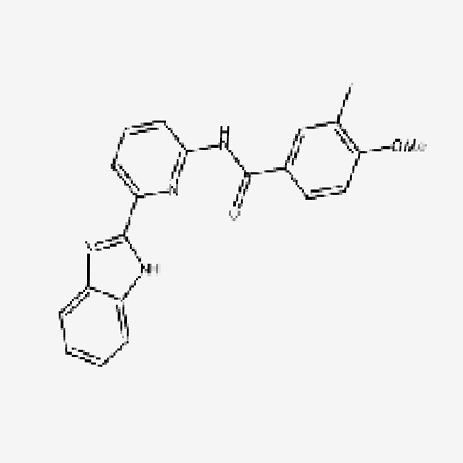 COc1ccc(C(=O)Nc2cccc(-c3nc4ccccc4[nH]3)n2)cc1C